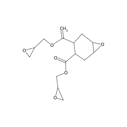 C=C(OCC1CO1)C1CC2OC2CC1C(=O)OCC1CO1